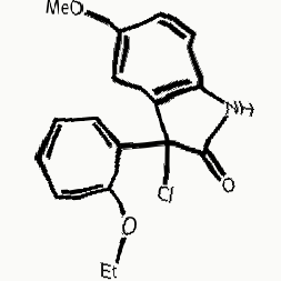 CCOc1ccccc1C1(Cl)C(=O)Nc2ccc(OC)cc21